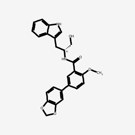 COc1ccc(-c2ccc3c(c2)OCO3)cc1C(=O)N[C@@H](CO)Cc1c[nH]c2ccccc12